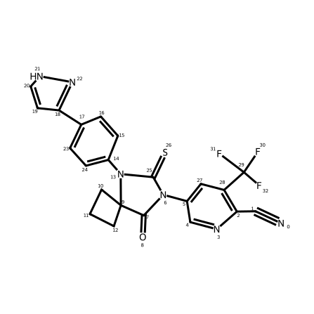 N#Cc1ncc(N2C(=O)C3(CCC3)N(c3ccc(-c4cc[nH]n4)cc3)C2=S)cc1C(F)(F)F